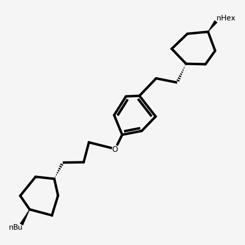 CCCCCC[C@H]1CC[C@H](CCc2ccc(OCCC[C@H]3CC[C@H](CCCC)CC3)cc2)CC1